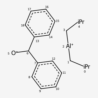 CC(C)[CH2][Al+][CH2]C(C)C.[O-]C(c1ccccc1)c1ccccc1